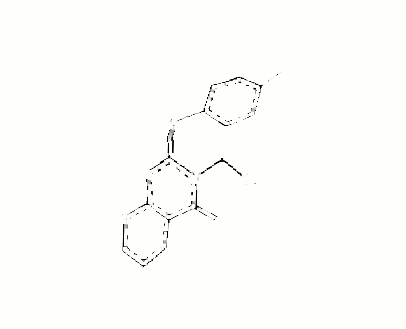 O=C(O)Cn1c(=Nc2ccc(Cl)cc2)sc2ncccc2c1=O